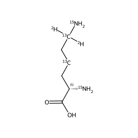 [2H][13C]([2H])([15NH2])C[13CH2]C[C@H]([15NH2])C(=O)O